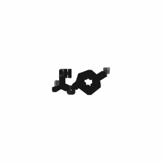 C[C@@H](S)Oc1ccc(F)cc1